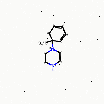 O=[N+]([O-])C1(N2CCNCC2)C=CC=CC1